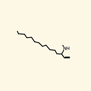 C=CC(CCCCCCCCCCCC)NC